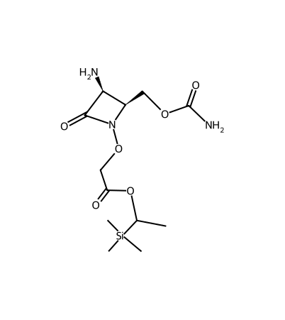 CC(OC(=O)CON1C(=O)[C@@H](N)[C@H]1COC(N)=O)[Si](C)(C)C